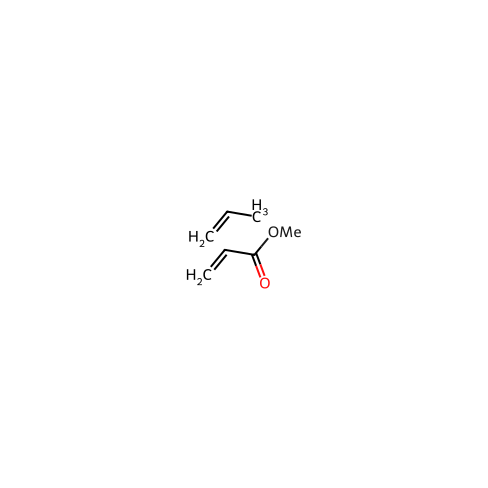 C=CC.C=CC(=O)OC